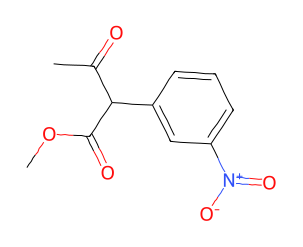 COC(=O)C(C(C)=O)c1cccc([N+](=O)[O-])c1